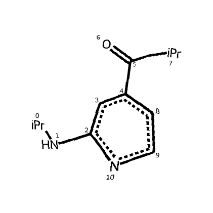 CC(C)Nc1cc(C(=O)C(C)C)ccn1